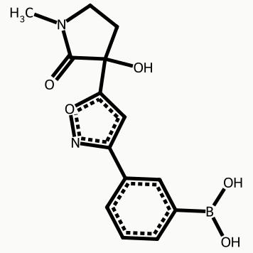 CN1CCC(O)(c2cc(-c3cccc(B(O)O)c3)no2)C1=O